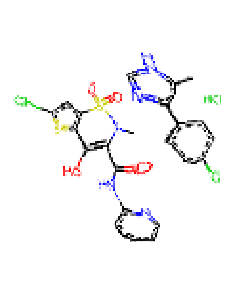 CN1C(C(=O)Nc2ccccn2)=C(O)c2sc(Cl)cc2S1(=O)=O.Cc1[nH]cnc1-c1ccc(Cl)cc1.Cl